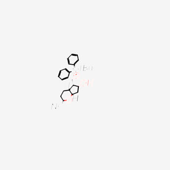 CC(C)(C)[Si](OC[C@@H]1[C@H]2CC[C@H](C#N)O[C@H]2C[C@H]1O)(c1ccccc1)c1ccccc1